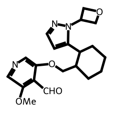 COc1cncc(OCC2CCCCC2c2ccnn2C2COC2)c1C=O